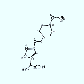 CC(C)C(C(=O)O)c1cc(OCC2CCN(OC(C)(C)C)CC2)no1